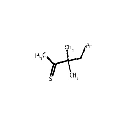 CC(=S)C(C)(C)CC(C)C